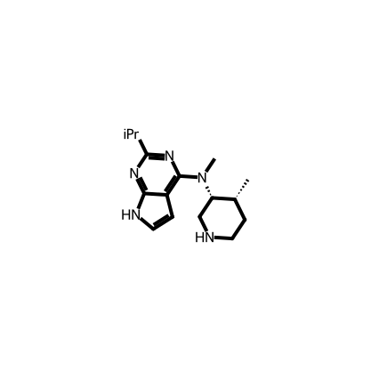 CC(C)c1nc(N(C)[C@H]2CNCC[C@H]2C)c2cc[nH]c2n1